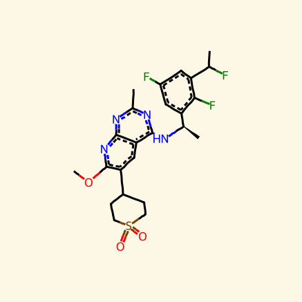 COc1nc2nc(C)nc(N[C@H](C)c3cc(F)cc(C(C)F)c3F)c2cc1C1CCS(=O)(=O)CC1